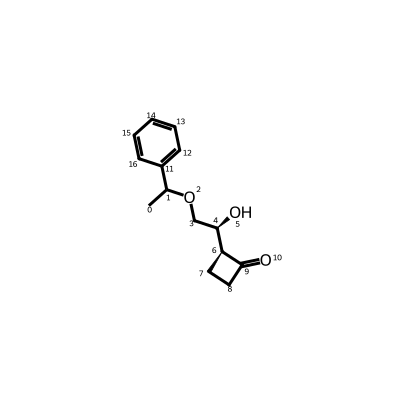 CC(OC[C@@H](O)[C@@H]1CCC1=O)c1ccccc1